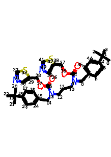 CC(C)(C)c1ccc(CN(CCCN(Cc2ccc(C(C)(C)C)cc2)C(=O)OCc2cncs2)C(=O)OCc2cncs2)cc1